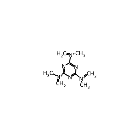 C=[N+](C)c1nc([N+](=C)C)nc([N+](=C)C)n1